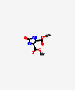 CCCOC(=O)C1NC(=O)NC1C(=O)OCCC